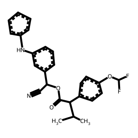 CC(C)C(C(=O)OC(C#N)c1cccc(Nc2ccccc2)c1)c1ccc(OC(F)F)cc1